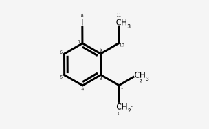 [CH2]C(C)c1cccc(I)c1CC